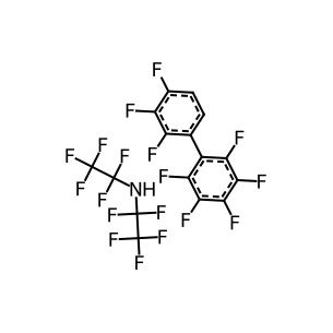 FC(F)(F)C(F)(F)NC(F)(F)C(F)(F)F.Fc1ccc(-c2c(F)c(F)c(F)c(F)c2F)c(F)c1F